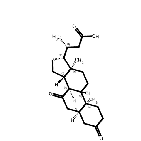 C[C@H](CC(=O)O)[C@H]1CC[C@H]2[C@@H]3C(=O)C[C@@H]4CC(=O)CC[C@]4(C)[C@H]3CC[C@]12C